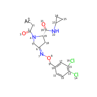 CC(=O)CC(=O)N1CC(=NOCc2ccc(Cl)c(Cl)c2)C[C@H]1C(=O)NC1CC1